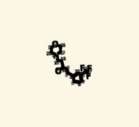 O=C(C=Cc1cccc(C(F)(F)F)c1)CCN1CCOCC1